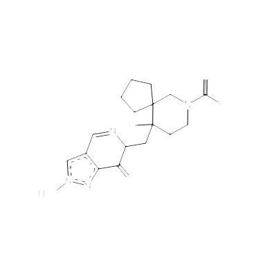 Cn1cc2c(n1)C(=O)C(CC1(O)CCN(C(=O)O)CC13CCCC3)N=C2